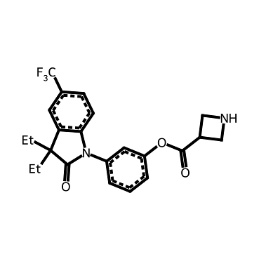 CCC1(CC)C(=O)N(c2cccc(OC(=O)C3CNC3)c2)c2ccc(C(F)(F)F)cc21